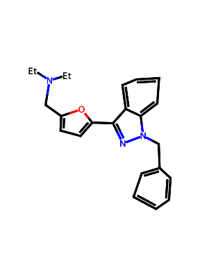 CCN(CC)Cc1ccc(-c2nn(Cc3ccccc3)c3ccccc23)o1